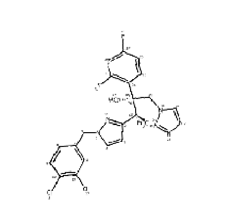 C[C@@H](c1ccn(Cc2ccc(Cl)c(Cl)c2)n1)[C@](O)(Cn1cnnn1)c1ccc(F)cc1F